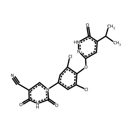 CC(C)c1cc(Oc2c(Cl)cc(-n3cc(C#N)c(=O)[nH]c3=O)cc2Cl)n[nH]c1=O